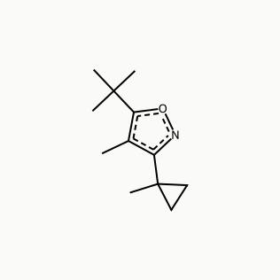 Cc1c(C2(C)CC2)noc1C(C)(C)C